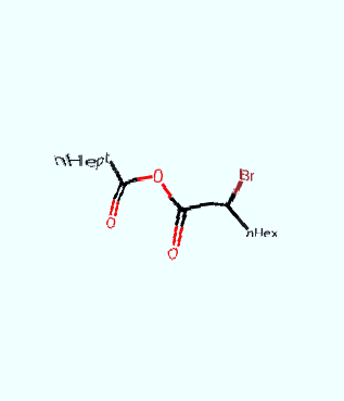 CCCCCCCC(=O)OC(=O)C(Br)CCCCCC